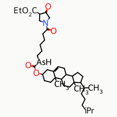 CCOC(=O)C1CN(C(=O)CCCCC[AsH]C(=O)OC2CCC3(C)C(=CCC4C3CCC3(C)C(C(C)CCCC(C)C)CCC43)C2)CC1=O